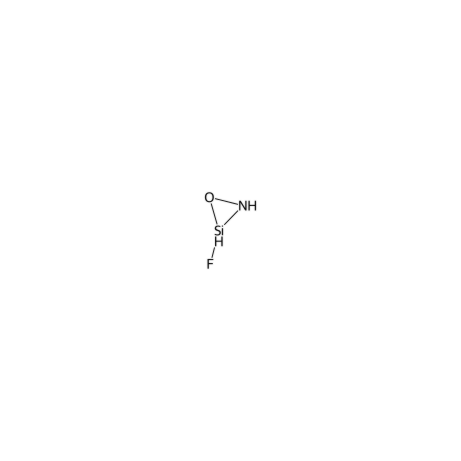 F[SiH]1NO1